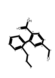 CCCc1ccccc1-c1cc(CCl)ccc1C(=O)O